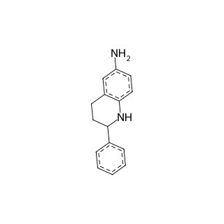 Nc1ccc2c(c1)CCC(c1ccccc1)N2